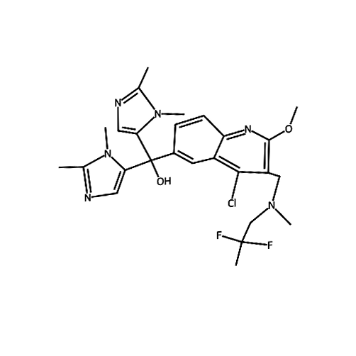 COc1nc2ccc(C(O)(c3cnc(C)n3C)c3cnc(C)n3C)cc2c(Cl)c1CN(C)CC(C)(F)F